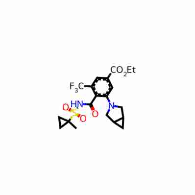 CCOC(=O)c1cc(N2CC3CC3C2)c(C(=O)NS(=O)(=O)C2(C)CC2)c(C(F)(F)F)c1